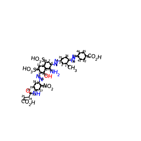 Cc1cc(/N=N/c2cc(S(=O)(=O)O)c3cc(S(=O)(=O)O)c(/N=N/c4ccc(NC(=O)CCC(=O)O)cc4[N+](=O)[O-])c(O)c3c2N)ccc1/N=N/c1ccc(C(=O)O)cc1